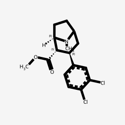 COC(=O)[C@@H]1[C@H]2CCC(C[C@H]1c1ccc(Cl)c(Cl)c1)N2C